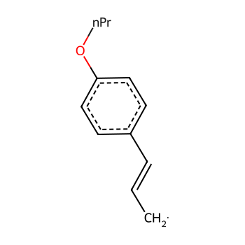 [CH2]C=Cc1ccc(OCCC)cc1